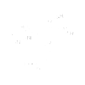 C=C(NC1=NC=CC1)c1cc(Oc2ccc(C(=O)O)cc2)cc(OC(C)COC)c1